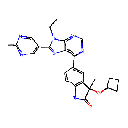 CCn1c(-c2cnc(C)nc2)nc2c(-c3ccc4c(c3)C(C)(OC3CCC3)C(=O)N4)ncnc21